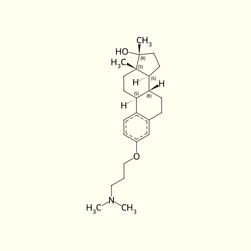 CN(C)CCCOc1ccc2c(c1)CC[C@@H]1[C@@H]2CC[C@@]2(C)[C@H]1CC[C@@]2(C)O